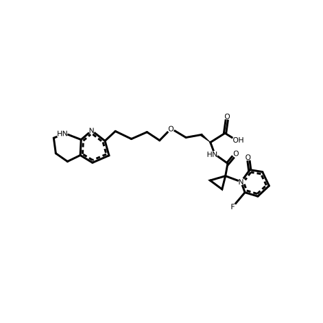 O=C(O)[C@H](CCOCCCCc1ccc2c(n1)NCCC2)NC(=O)C1(n2c(F)cccc2=O)CC1